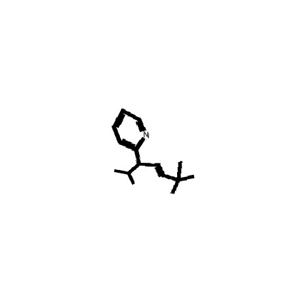 CC(C)C(/C=C/C(C)(C)C)c1ccccn1